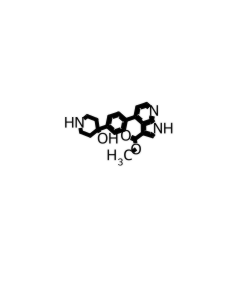 COC(=O)c1c[nH]c2nccc(-c3ccc(C4(O)CCNCC4)cc3)c12